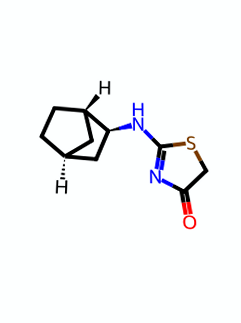 O=C1CSC(N[C@H]2C[C@H]3CC[C@H]2C3)=N1